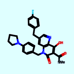 CNC(=O)c1c(O)c2ncc(Cc3ccc(F)cc3)cc2n(Cc2ccc(N3CCCC3)cc2)c1=O